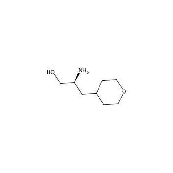 N[C@H](CO)CC1CCOCC1